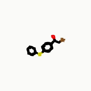 O=C(CBr)c1ccc(Sc2ccccc2)cc1